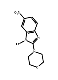 CCn1c(N2CCOCC2)nc2ccc([N+](=O)[O-])cc21